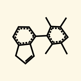 Cc1cc(C)c(C)c(-c2cccc3c2C=CC3)c1C